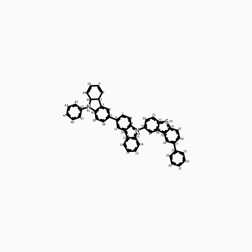 C1=CC2c3cc(-c4ccc5c(c4)c4ccccc4n5-c4ccc5sc6ccc(-c7ccccc7)cc6c5c4)ccc3N(c3ccccc3)C2C=C1